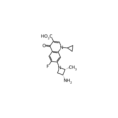 C[C@@H]1[C@H](N)CN1c1cc2c(cc1F)c(=O)c(C(=O)O)cn2C1CC1